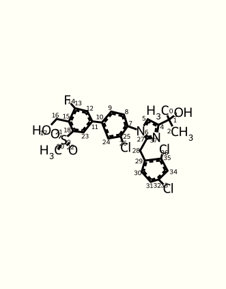 CC(C)(O)c1cn(-c2ccc(-c3cc(F)c(CO)c(S(C)(=O)=O)c3)cc2Cl)c(Cc2ccc(Cl)cc2Cl)n1